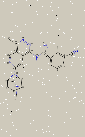 Cc1c(C#N)cccc1[C@@H](N)Nc1nnc(C)c2cnc(N3CC4CCC3CN4C)cc12